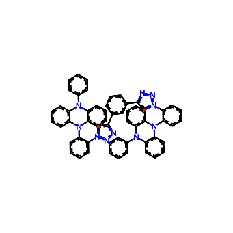 c1ccc(N2c3ccccc3N(c3ccccc3-n3cc(-c4cccc(-c5cn(-c6ccccc6N6c7ccccc7N(c7ccccc7)c7ccccc76)nn5)c4)nn3)c3ccccc32)cc1